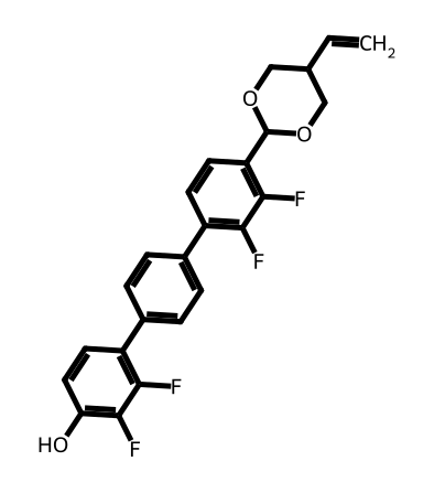 C=CC1COC(c2ccc(-c3ccc(-c4ccc(O)c(F)c4F)cc3)c(F)c2F)OC1